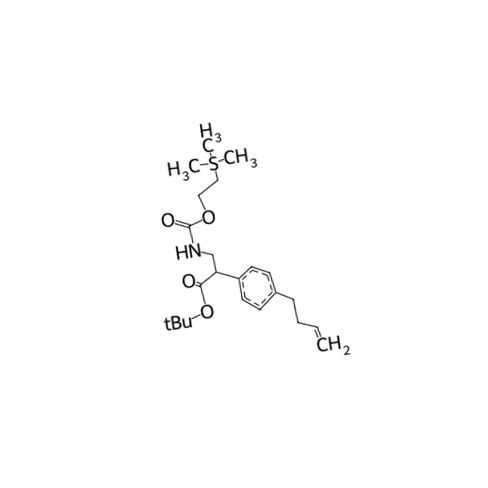 C=CCCc1ccc(C(CNC(=O)OCCS(C)(C)C)C(=O)OC(C)(C)C)cc1